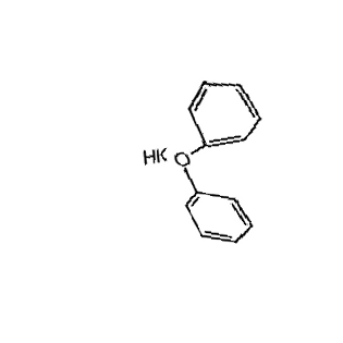 [KH].c1ccc(Oc2ccccc2)cc1